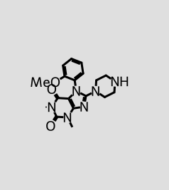 COc1ccccc1-n1c(N2CCNCC2)nc2c1C(=O)[N]C(=O)N2C